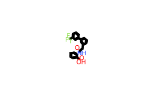 O=C(Cc1cccc(-c2cccc(C(F)(F)F)c2)c1)Nc1ccccc1C(=O)O